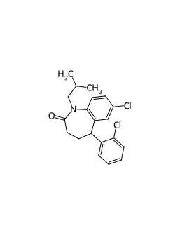 CC(C)CN1C(=O)CCC(c2ccccc2Cl)c2cc(Cl)ccc21